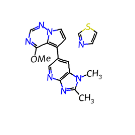 COc1ncnn2ccc(-c3cnc4nc(C)n(C)c4c3)c12.c1cscn1